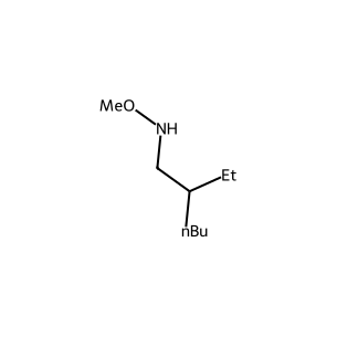 CCCCC(CC)CNOC